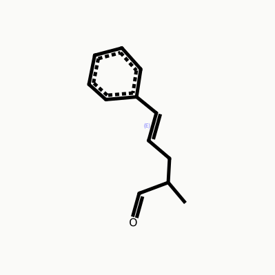 CC(C=O)C/C=C/c1ccccc1